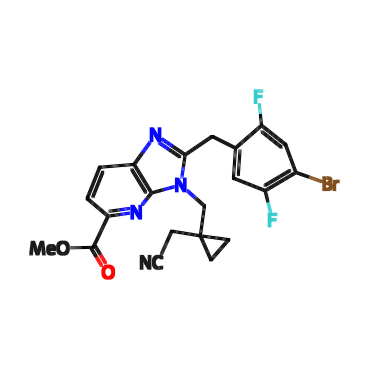 COC(=O)c1ccc2nc(Cc3cc(F)c(Br)cc3F)n(CC3(CC#N)CC3)c2n1